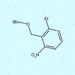 CCc1cccc([N+](=O)[O-])c1COC(C)(C)C